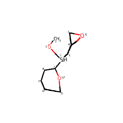 CO[SiH](CC1CO1)C1CCCCO1